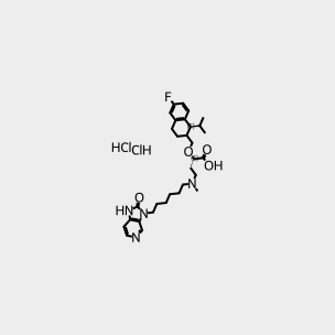 CC(C)[C@@H]1c2ccc(F)cc2CCC1CO[C@@H](CCN(C)CCCCCCn1c(=O)[nH]c2ccncc21)C(=O)O.Cl.Cl